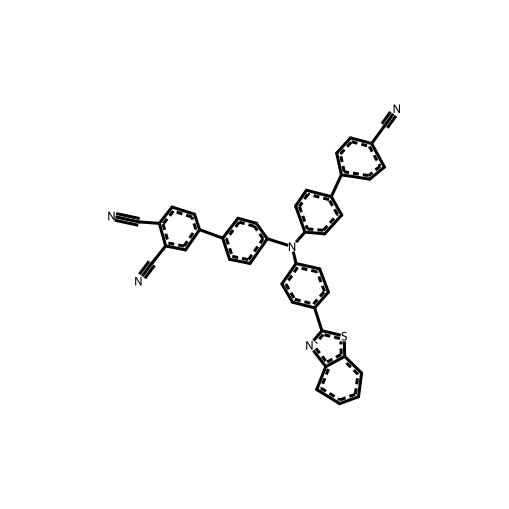 N#Cc1ccc(-c2ccc(N(c3ccc(-c4ccc(C#N)c(C#N)c4)cc3)c3ccc(-c4nc5ccccc5s4)cc3)cc2)cc1